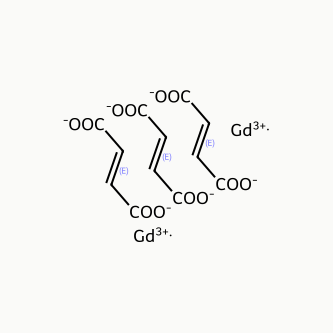 O=C([O-])/C=C/C(=O)[O-].O=C([O-])/C=C/C(=O)[O-].O=C([O-])/C=C/C(=O)[O-].[Gd+3].[Gd+3]